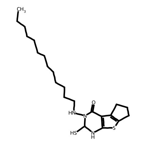 CCCCCCCCCCCCCNN1C(=O)c2c(sc3c2CCC3)NC1S